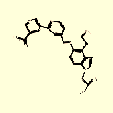 C=C(C)Cn1ccc2c(CCC)c(OCc3cccc(-c4cncc(C(=O)O)c4)c3)ccc21